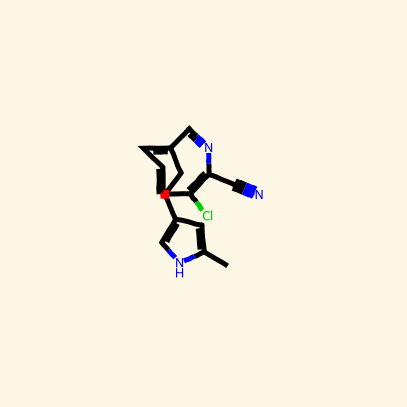 Cc1cc(CCC2=C\C=C\C(Cl)=C(C#N)/N=C\2)c[nH]1